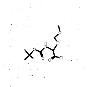 COCOC(NC(=O)OC(C)(C)C)C(=O)Cl